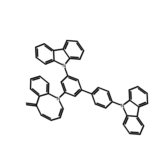 C=C1/C=C\C=CN(c2cc(-c3ccc(-n4c5ccccc5c5ccccc54)cc3)cc(-n3c4ccccc4c4ccccc43)c2)c2ccccc21